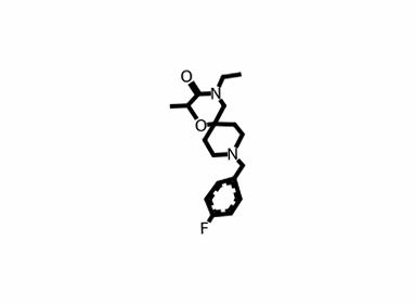 CCN1CC2(CCN(Cc3ccc(F)cc3)CC2)OC(C)C1=O